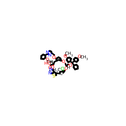 COc1ccc(C(OC[C@H]2COc3ccc(OCc4ccnc(-c5ccccc5OC)n4)c(c3)C[C@H](C(=O)O)Oc3ncnc4scc(c34)-c3ccc(c(Cl)c3C)O2)(c2ccccc2)c2ccc(OC)cc2)cc1